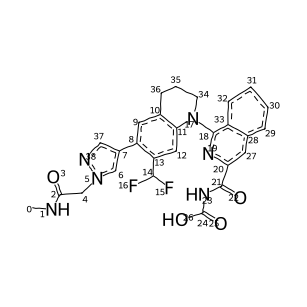 CNC(=O)Cn1cc(-c2cc3c(cc2C(F)F)N(c2nc(C(=O)NC(=O)O)cc4ccccc24)CCC3)cn1